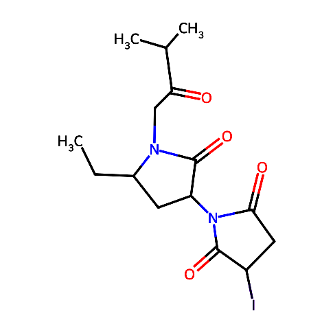 CCC1CC(N2C(=O)CC(I)C2=O)C(=O)N1CC(=O)C(C)C